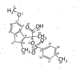 COc1ccc2c(c1)C(C(C)(OS(=O)(=O)c1ccc(C)cc1)C(=O)O)=C(C)C2